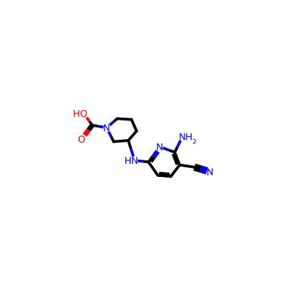 N#Cc1ccc(NC2CCCN(C(=O)O)C2)nc1N